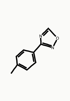 Cc1ccc(-c2n[c]on2)cc1